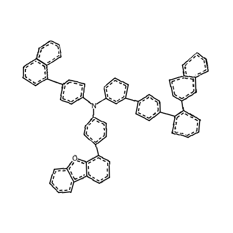 c1cc(-c2ccc(-c3ccccc3-c3ccc4ccccc4c3)cc2)cc(N(c2ccc(-c3cccc4ccccc34)cc2)c2ccc(-c3cccc4c3oc3ccccc34)cc2)c1